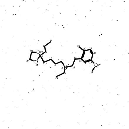 CCCC1(CCCCN(CC)CCc2cc(OC)ccc2C)OCCO1